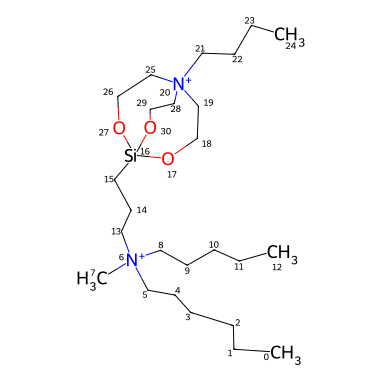 CCCCCC[N+](C)(CCCCC)CCC[Si]12OCC[N+](CCCC)(CCO1)CCO2